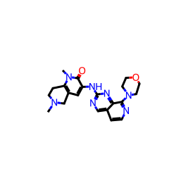 CN1CCc2c(cc(Nc3ncc4ccnc(N5CCOCC5)c4n3)c(=O)n2C)C1